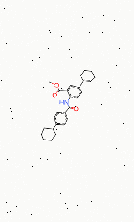 COC(=O)c1cc(C2=CCCCC2)ccc1NC(=O)c1ccc(C2CCCCC2)cc1